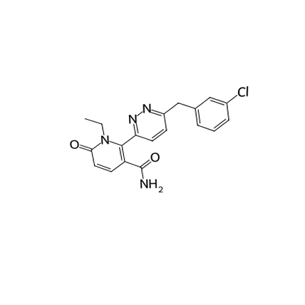 CCn1c(-c2ccc(Cc3cccc(Cl)c3)nn2)c(C(N)=O)ccc1=O